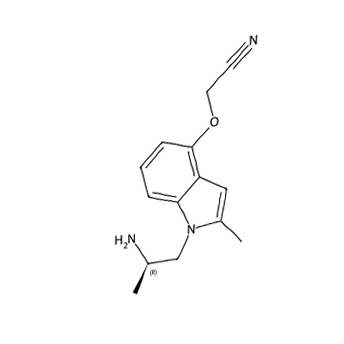 Cc1cc2c(OCC#N)cccc2n1C[C@@H](C)N